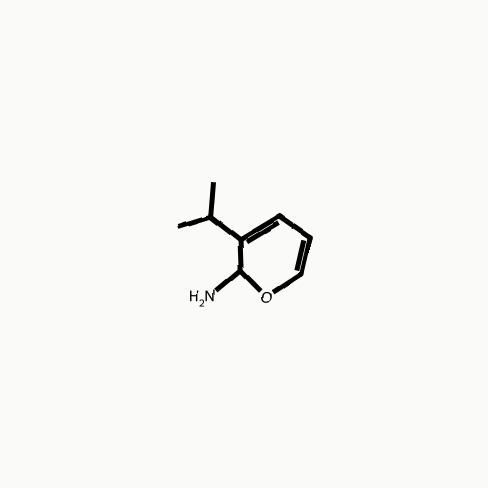 CC(C)C1=CC=COC1N